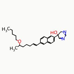 CCCCCOC(C)CCCC=Cc1ccc2cc(C3(O)C=NC=NC3)ccc2c1